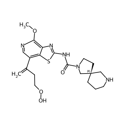 C=C(CCOO)c1cnc(OC)c2nc(NC(=O)N3CC[C@@]4(CCCNC4)C3)sc12